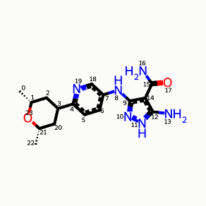 C[C@@H]1CC(c2ccc(Nc3n[nH]c(N)c3C(N)=O)cn2)C[C@H](C)O1